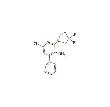 Nc1c(-c2ccccc2)cc(Cl)nc1N1CCC(F)(F)C1